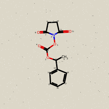 CC(OC(=O)ON1C(=O)CCC1=O)c1ccccc1